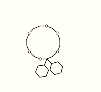 C1CCC(C2(C3CCCCC3)COCCOCOCCOCCOCO2)CC1